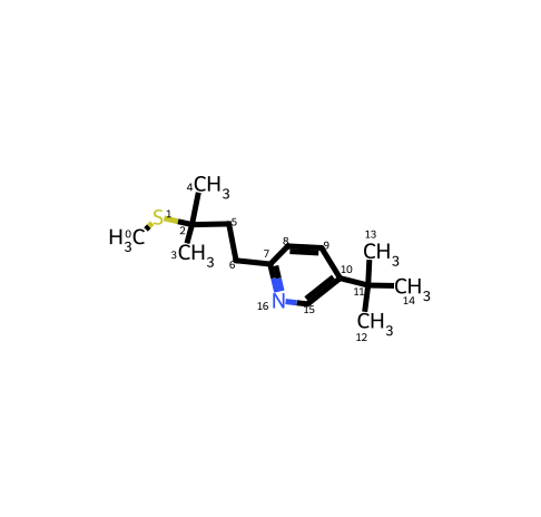 CSC(C)(C)CCc1ccc(C(C)(C)C)cn1